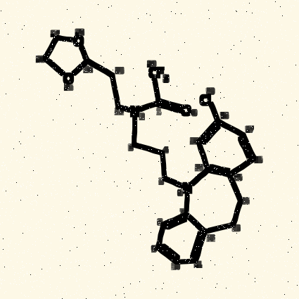 O=C(N(CCCN1c2ccccc2CCc2ccc(Cl)cc21)CCC1OCCO1)C(F)(F)F